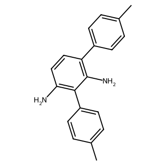 Cc1ccc(-c2ccc(N)c(-c3ccc(C)cc3)c2N)cc1